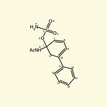 CC(=O)NC1(OS(N)(=O)=O)C=CC=C(c2ccccc2)C1